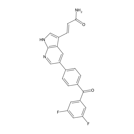 NC(=O)C=Cc1c[nH]c2ncc(-c3ccc(C(=O)c4cc(F)cc(F)c4)cc3)cc12